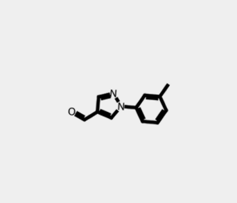 Cc1cccc(-n2cc(C=O)cn2)c1